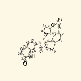 CCC#Cc1cccc([C@@H](CN2CCC(O)C2)N(C)C(=O)Cc2ccc3ncc(=O)[nH]c3c2)c1